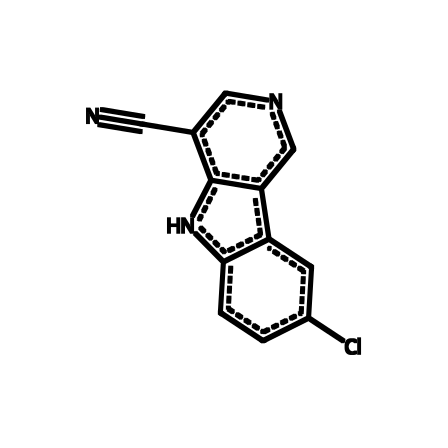 N#Cc1cncc2c1[nH]c1ccc(Cl)cc12